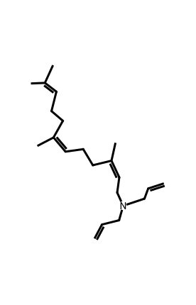 C=CCN(CC=C)CC=C(C)CCC=C(C)CCC=C(C)C